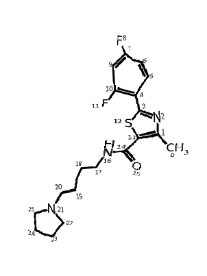 Cc1nc(-c2ccc(F)cc2F)sc1C(=O)NCCCCN1CCCC1